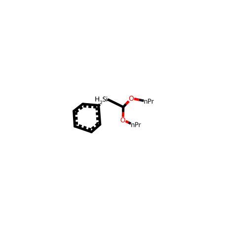 CCCOC(OCCC)[SiH2]c1ccccc1